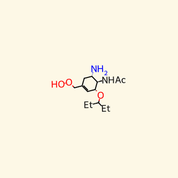 CCC(CC)O[C@@H]1C=C(COO)C[C@H](N)[C@H]1NC(C)=O